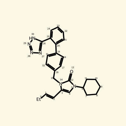 CCC=Cc1cn(C2CCCCC2)c(=O)n1Cc1ccc(-c2ccccc2-c2nnn[nH]2)cc1